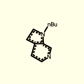 CCCCn1ccc2ccncc21